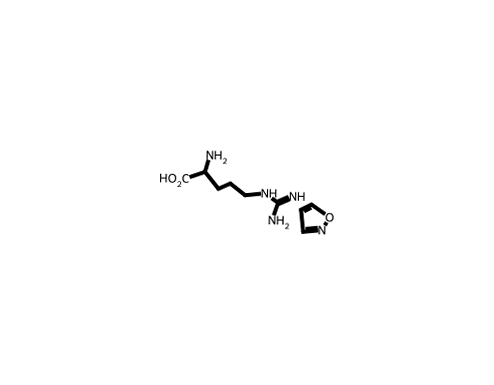 N=C(N)NCCCC(N)C(=O)O.c1cnoc1